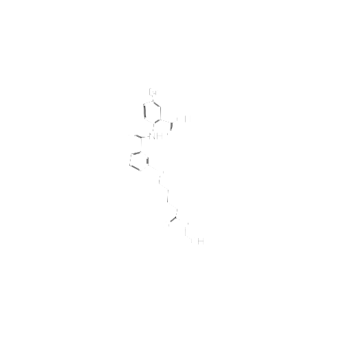 CCOC(=O)CCCCOc1cccc(C(=O)Nc2ccc(Br)cc2C(=O)O)c1